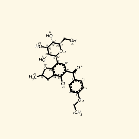 CCOc1ccc(C(=O)c2cc([C@@H]3O[C@H](CO)[C@@H](O)[C@H](O)[C@H]3O)c3c(c2Cl)CC(C)O3)cc1